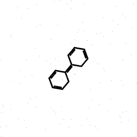 C1=CCC(=C2C=CC=CC2)C=C1